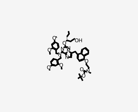 CCC[C@H](CCO)Oc1nc(N(Cc2ccc(OC)cc2OC)Cc2ccc(OC)cc2OC)c2ncc(Cc3ccc(OCCN(C)C(=O)OC(C)(C)C)c4ccccc34)n2n1